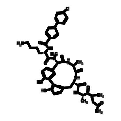 C[C@@H]1NC(=O)[C@@H](N(C)C(=O)[C@H](CCCCN)NC(=O)c2ccc(-c3ccc(Cl)cc3)cc2)c2ccc(O)c(c2)-c2cc(ccc2O)C[C@@H](C(=O)N[C@@H](C)C(=O)N(C)CC(N)=O)NC1=O